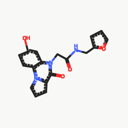 O=C(Cn1c(=O)c2cccn2c2ccc(O)cc21)NCc1ccco1